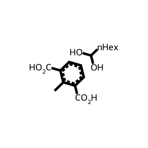 CCCCCCC(O)O.Cc1c(C(=O)O)cccc1C(=O)O